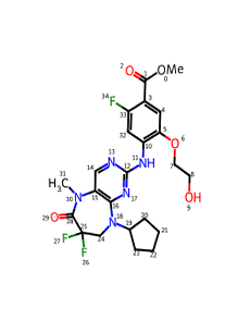 COC(=O)c1cc(OCCO)c(Nc2ncc3c(n2)N(C2CCCC2)CC(F)(F)C(=O)N3C)cc1F